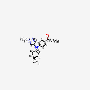 CNC(=O)c1ccc2c(c1)c1nn(C)cc1n2-c1ccc(C(F)(F)F)cc1